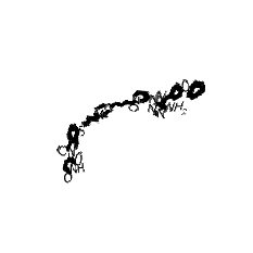 Nc1ncnc2c1c(-c1ccc(Oc3ccccc3)cc1)nn2C1CCCN(C(=O)CCCN2CCN(CCCCSc3cccc4c3CN(C3CCC(=O)NC3=O)C4=O)CC2)C1